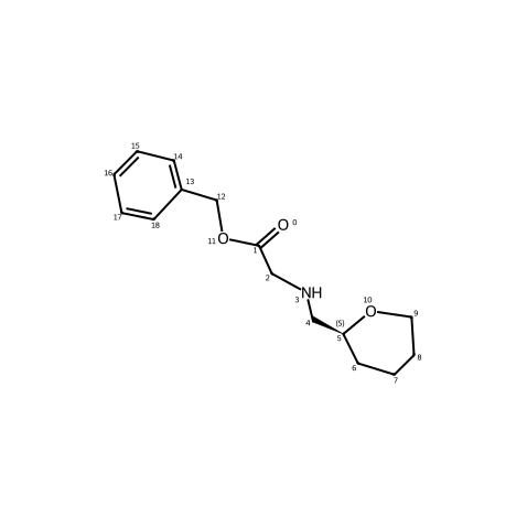 O=C(CNC[C@@H]1CCCCO1)OCc1ccccc1